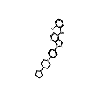 Clc1ccccc1Nc1ncnc2c1cnn2-c1ccc(N2CCC(N3CCCC3)CC2)cc1